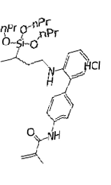 C=C(C)C(=O)Nc1ccc(-c2ccccc2NCCC(C)[Si](OCCC)(OCCC)OCCC)cc1.Cl